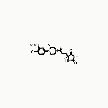 COc1cc(N2CCN(C(=O)CC[C@@]3(C)NC(=O)NC3=O)C[C@@H]2C)ccc1Cl